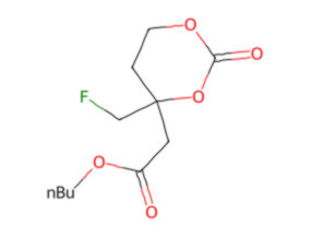 CCCCOC(=O)CC1(CF)CCOC(=O)O1